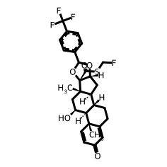 C[C@]12C=CC(=O)C=C1CC[C@@H]1[C@@H]2[C@@H](O)C[C@@]2(C)[C@H]1C[C@H]1OC(c3ccc(C(F)(F)F)cc3)O[C@]12C(=O)SCF